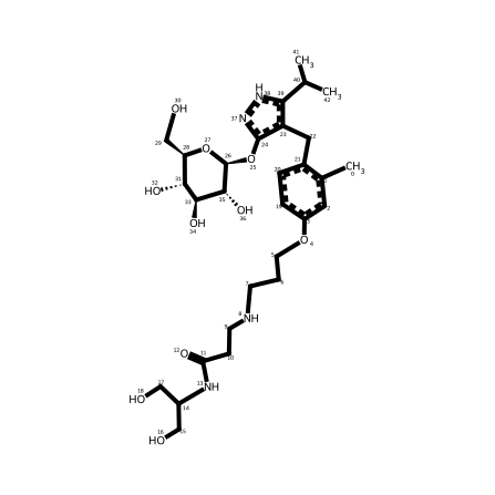 Cc1cc(OCCCNCCC(=O)NC(CO)CO)ccc1Cc1c(O[C@@H]2O[C@H](CO)[C@@H](O)[C@H](O)[C@H]2O)n[nH]c1C(C)C